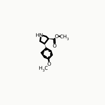 COC(=O)[C@@H]1CNC[C@H]1c1ccc(OC)cc1